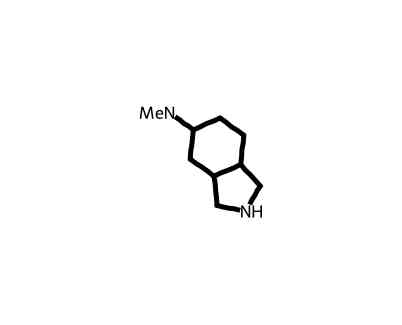 CNC1CCC2CNCC2C1